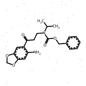 CC(C)N(CCC(=O)c1cc2c(cc1N)OCO2)C(=O)OCc1ccccc1